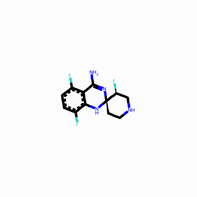 NC1=N[C@@]2(CCNC[C@@H]2F)Nc2c(F)ccc(F)c21